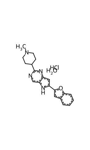 CN1CCC(c2ncc3[nH]c(-c4cc5ccccc5o4)cc3n2)CC1.Cl.O